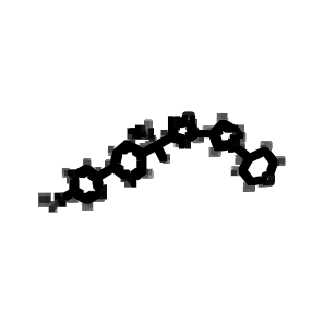 CCCC[C@](C)(c1ccc(-c2cnc(N)cn2)nc1)c1noc(-c2cnn(C3CCOCC3)c2)n1